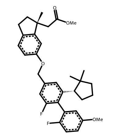 COC(=O)C[C@@]1(C)CCc2ccc(OCc3cc(F)c(-c4cc(OC)ccc4F)c([C@H]4CCCC4(C)C)c3)cc21